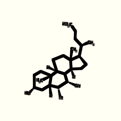 CC[C@H]1[C@@H](O)C2[C@@H]3CC[C@H]([C@H](C)CCC(=O)O)[C@@]3(C)CC[C@@H]2[C@@]2(C)CC[C@@H](O)C[C@@H]12